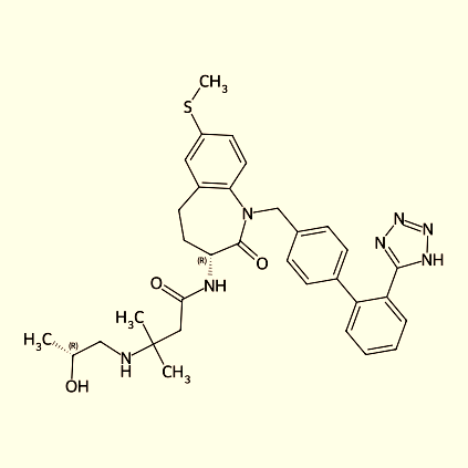 CSc1ccc2c(c1)CC[C@@H](NC(=O)CC(C)(C)NC[C@@H](C)O)C(=O)N2Cc1ccc(-c2ccccc2-c2nnn[nH]2)cc1